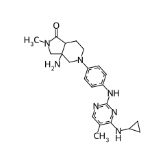 Cc1cnc(Nc2ccc(N3CCC4C(=O)N(C)CC4(N)C3)cc2)nc1NC1CC1